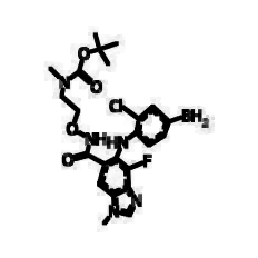 Bc1ccc(Nc2c(C(=O)NOCCN(C)C(=O)OC(C)(C)C)cc3c(ncn3C)c2F)c(Cl)c1